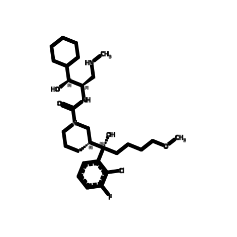 CNC[C@@H](NC(=O)N1CCC[C@@H]([C@@](O)(CCCCOC)c2cccc(F)c2Cl)C1)[C@@H](O)C1CCCCC1